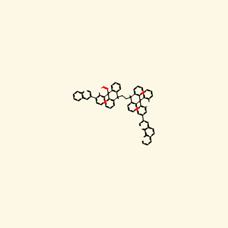 CC1(CCC2(C)c3ccccc3C3(c4ccccc4Oc4c(-c5cnc6ccccc6c5)cccc43)c3ccccc32)c2ccccc2C2(c3ccccc3Oc3cc(-c4cnc5c(ccc6cccnc65)c4)ccc32)c2ccccc21